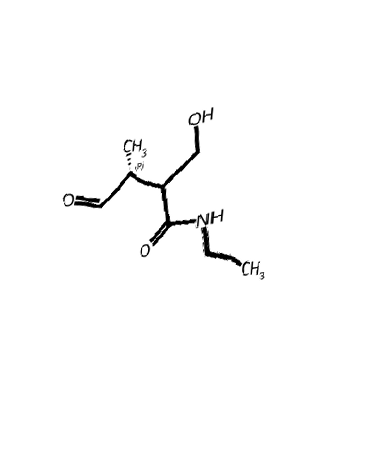 CCNC(=O)C(CO)[C@@H](C)C=O